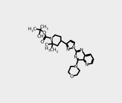 CC(C)(C)OC(=O)N1CCC(c2ccn(-c3nc(N4CCOCC4)c4ncccc4n3)n2)CC1(C)C